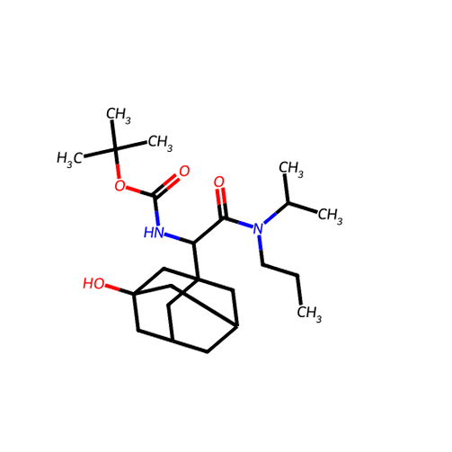 CCCN(C(=O)C(NC(=O)OC(C)(C)C)C12CC3CC(CC(O)(C3)C1)C2)C(C)C